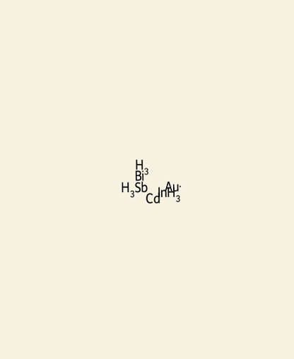 [Au].[BiH3].[Cd].[InH3].[SbH3]